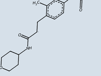 Cc1cc(OC(N)=O)ccc1C[CH]C(=O)NC1CCOCC1